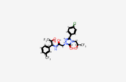 O=C(Cn1nc(-c2ccc(Cl)cc2)n(C[C@H](O)C(F)(F)F)c1=O)NC(c1cccc(C(F)(F)F)c1)C(O)C(F)(F)F